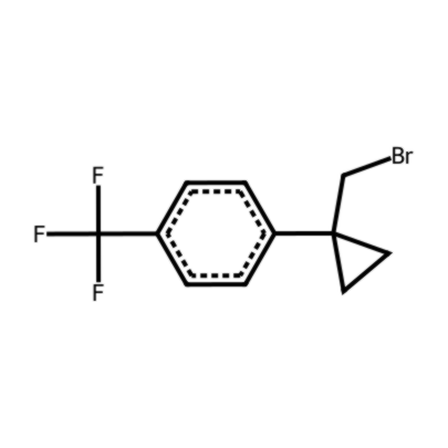 FC(F)(F)c1ccc(C2(CBr)CC2)cc1